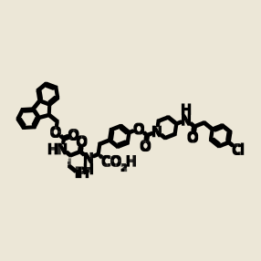 CC(C)C[C@H](NC(=O)OCC1c2ccccc2-c2ccccc21)C(=O)N[C@@H](Cc1ccc(OC(=O)N2CCC(NC(=O)Cc3ccc(Cl)cc3)CC2)cc1)C(=O)O